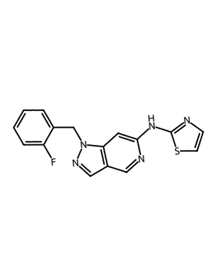 Fc1ccccc1Cn1ncc2cnc(Nc3nccs3)cc21